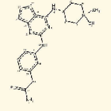 C[C@]1(O)CC[C@H](Nc2nc(Nc3cccc(CC(N)=O)c3)nc3ccsc23)CC1